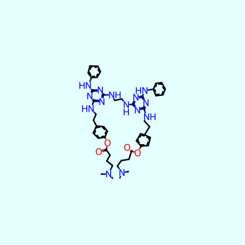 CN(C)CCCC(=O)Oc1ccc(CCNc2nc(NCCNc3nc(NCCc4ccc(OC(=O)CCCN(C)C)cc4)nc(Nc4ccccc4)n3)nc(Nc3ccccc3)n2)cc1